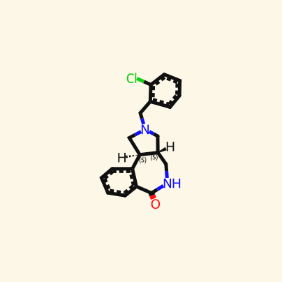 O=C1NC[C@H]2CN(Cc3ccccc3Cl)C[C@@H]2c2ccccc21